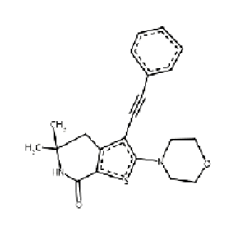 CC1(C)Cc2c(sc(N3CCOCC3)c2C#Cc2ccccc2)C(=O)N1